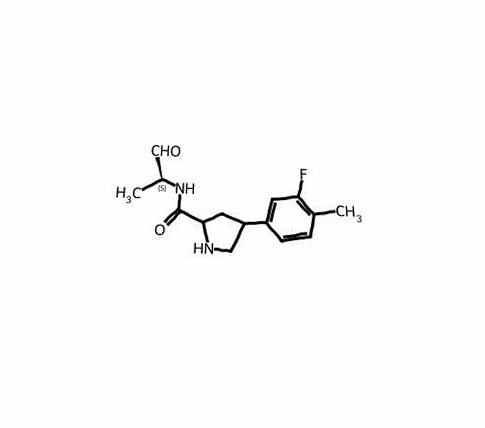 Cc1ccc(C2CNC(C(=O)N[C@@H](C)C=O)C2)cc1F